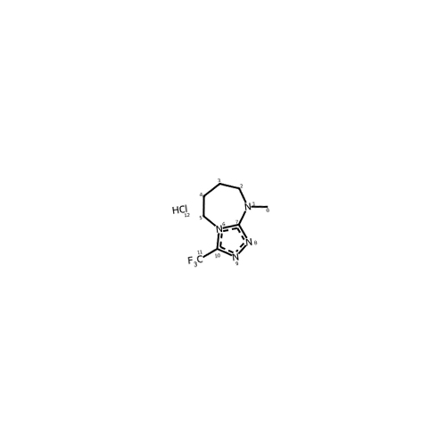 CN1CCCCn2c1nnc2C(F)(F)F.Cl